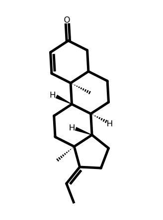 CC=C1CC[C@H]2[C@@H]3CCC4CC(=O)C=C[C@]4(C)[C@H]3CC[C@]12C